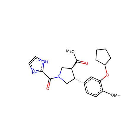 COC(=O)[C@@H]1CN(C(=O)c2ncc[nH]2)C[C@H]1c1ccc(OC)c(OC2CCCC2)c1